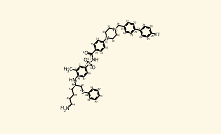 Cc1cc(S(=O)(=O)NC(=O)c2ccc(N3CCN(Cc4ccc(-c5ccc(Cl)cc5)cc4)CC3)cc2)ccc1N[C@H](CCCCN)CSc1ccccc1